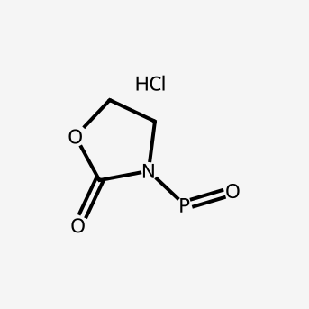 Cl.O=PN1CCOC1=O